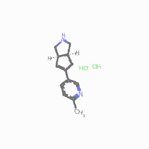 Cc1ccc(C2=C[C@H]3CNC[C@H]3C2)cn1.Cl.Cl